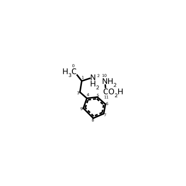 CC(N)Cc1ccccc1.NC(=O)O